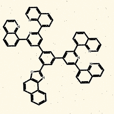 c1cnc2c(-c3cc(-c4cc(-c5cc(-c6cccc7cccnc67)nc(-c6cccc7cccnc67)c5)cc(-c5nc6c(ccc7ccccc76)o5)c4)cc(-c4cccc5cccnc45)n3)cccc2c1